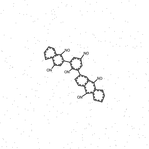 O=Nc1cc(-c2ccc3c(N=O)c4ccccc4c(N=O)c3c2)c(N=O)c(-c2cc(N=O)c3ccccc3c2N=O)c1